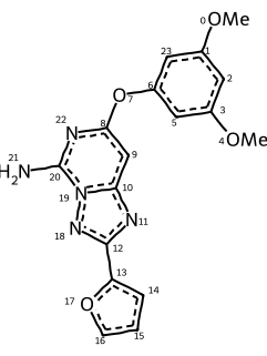 COc1cc(OC)cc(Oc2cc3nc(-c4ccco4)nn3c(N)n2)c1